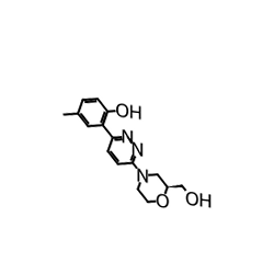 Cc1ccc(O)c(-c2ccc(N3CCO[C@H](CO)C3)nn2)c1